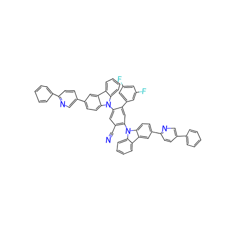 N#Cc1cc(-n2c3ccccc3c3cc(-c4ccc(-c5ccccc5)nc4)ccc32)c(-c2cc(F)cc(F)c2)cc1-n1c2ccccc2c2cc(-c3ccc(-c4ccccc4)cn3)ccc21